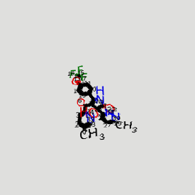 Cc1ccc(C(=O)C2=C(c3ccc(OC(F)(F)F)cc3)NC(=O)C2(O)c2ccc(C)nn2)nc1